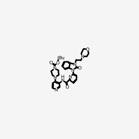 CC(C)(C)OC(=O)N1CCN(c2ccncc2NC(=O)c2cccc(-n3c(=O)n(CCN4CCOCC4)c4ccccc43)n2)CC1